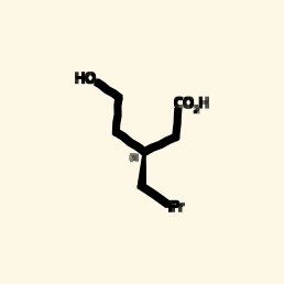 CC(C)C[C@@H](CCO)CC(=O)O